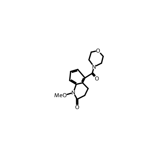 CON1C(=O)CCc2c(C(=O)N3CCOCC3)cccc21